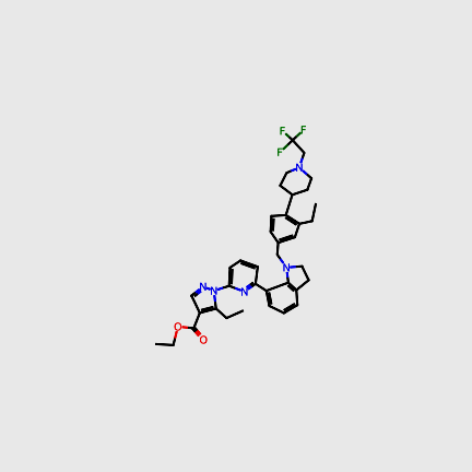 CCOC(=O)c1cnn(-c2cccc(-c3cccc4c3N(Cc3ccc(C5CCN(CC(F)(F)F)CC5)c(CC)c3)CC4)n2)c1CC